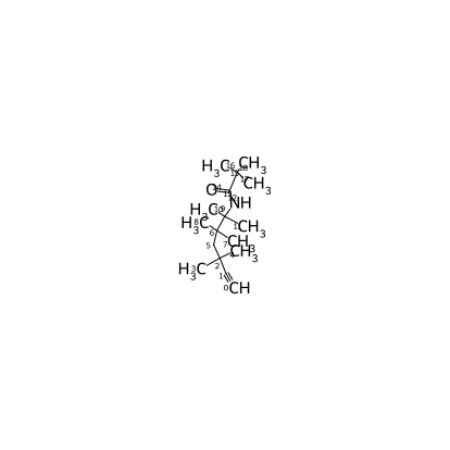 C#CC(C)(C)CC(C)(C)C(C)(C)NC(=O)C(C)(C)C